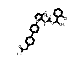 Cc1ccn(-c2ccc(-c3ccc(CC(=O)O)cc3)cc2)c1NC(=O)OC(C)c1ccccc1Cl